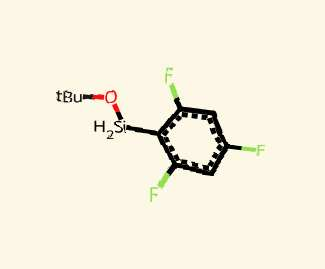 CC(C)(C)O[SiH2]c1c(F)cc(F)cc1F